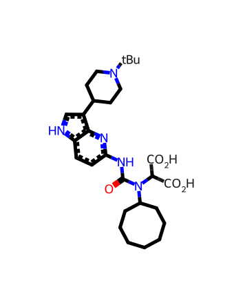 CC(C)(C)N1CCC(c2c[nH]c3ccc(NC(=O)N(C4CCCCCCC4)C(C(=O)O)C(=O)O)nc23)CC1